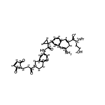 CCCN(CCO)C(=O)C1=Cc2ccc(C3(C(=O)Nc4cnc5c(c4)CN(C(=O)CCN4C(=O)C=CC4=O)CC5)CC3)cc2N=C(N)C1